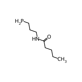 CCCCC(=O)NCCCP